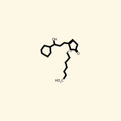 O=C(O)CCCCCC[C@H]1C(=O)CC=C1CCC(O)C1CCCCC1